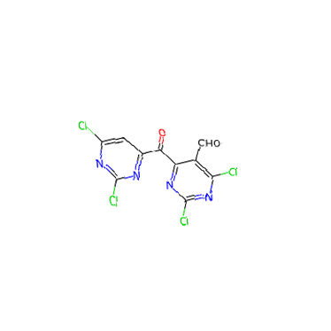 O=[C]c1c(Cl)nc(Cl)nc1C(=O)c1cc(Cl)nc(Cl)n1